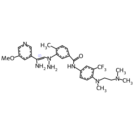 COc1cncc(/C(N)=C/N(N)c2cc(C(=O)Nc3ccc(N(C)CCN(C)C)c(C(F)(F)F)c3)ccc2C)c1